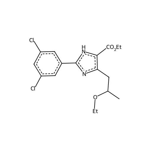 CCOC(=O)c1[nH]c(-c2cc(Cl)cc(Cl)c2)nc1CC(C)OCC